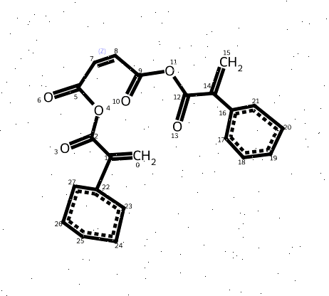 C=C(C(=O)OC(=O)/C=C\C(=O)OC(=O)C(=C)c1ccccc1)c1ccccc1